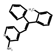 Cc1ccccc1C(=Cc1ccnc(N)c1)c1ccccc1